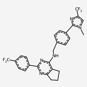 Cn1cc(C(F)(F)F)nc1-c1ccc(CNc2nc(-c3ccc(C(F)(F)F)cc3)nc3c2CCC3)cc1